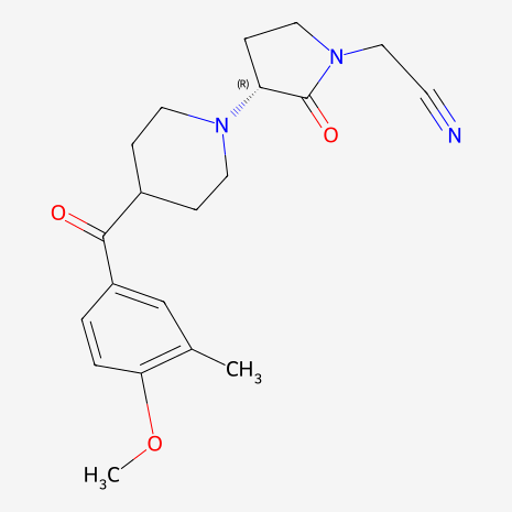 COc1ccc(C(=O)C2CCN([C@@H]3CCN(CC#N)C3=O)CC2)cc1C